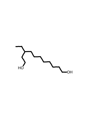 CCC(CCO)CCCCCCCCO